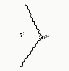 CCCCCCCCCCCCCCC[CH2][Sn+2][CH2]CCCCCCCCCCCCCCC.[S-2]